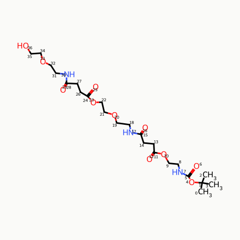 CC(C)(C)OC(=O)NCCOC(=O)CCC(=O)NCCOCCOC(=O)CCC(=O)NCCOCCO